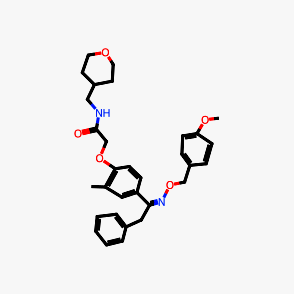 COc1ccc(CON=C(Cc2ccccc2)c2ccc(OCC(=O)NCC3CCOCC3)c(C)c2)cc1